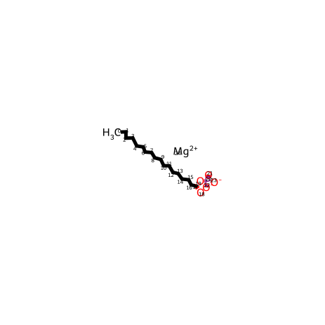 CCCCCCCCCCCCCCCCCC(=O)OP(=O)([O-])[O-].[Mg+2]